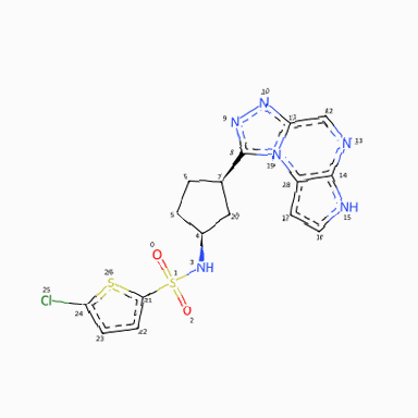 O=S(=O)(N[C@H]1CC[C@@H](c2nnc3cnc4[nH]ccc4n23)C1)c1ccc(Cl)s1